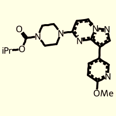 COc1ccc(-c2cnn3ccc(N4CCN(C(=O)OC(C)C)CC4)nc23)cn1